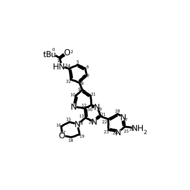 CC(C)(C)C(=O)Nc1cccc(-c2cnc3c(N4CCOCC4)nc(-c4cnc(N)nc4)nc3c2)c1